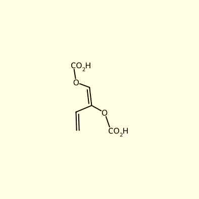 C=C/C(=C\OC(=O)O)OC(=O)O